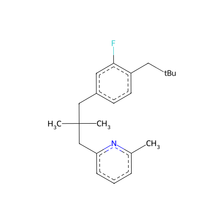 Cc1cccc(CC(C)(C)Cc2ccc(CC(C)(C)C)c(F)c2)n1